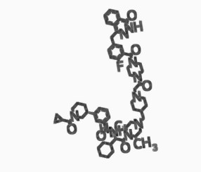 C[C@@H]1CN(CC2CCN(CC(=O)N3CCN(C(=O)c4cc(Cc5n[nH]c(=O)c6ccccc56)ccc4F)CC3)CC2)C[C@@H](C)N1C(=O)[C@H](NC(=O)c1cccc([C@@H]2CCCN(C(=O)C3CC3)C2)c1)C1CCCCC1